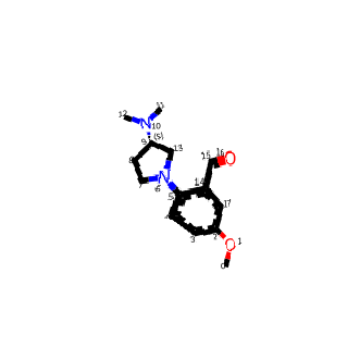 COc1ccc(N2CC[C@H](N(C)C)C2)c(C=O)c1